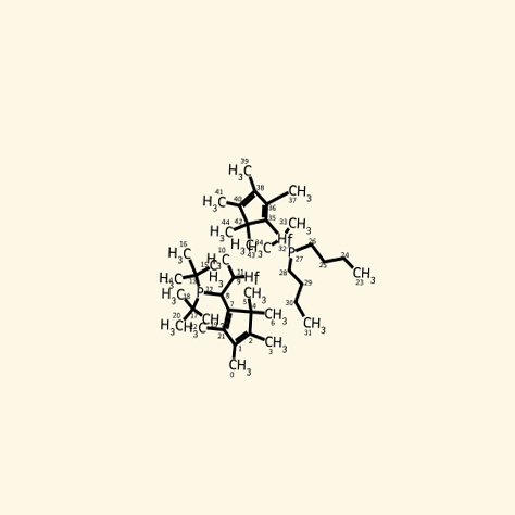 CC1=C(C)C(C)(C)C(C([CH](C)[Hf])P(C(C)(C)C)C(C)(C)C)=C1C.CCCC[P](CCCC)[Hf]([CH3])([CH3])[C]1=C(C)C(C)=C(C)C1(C)C